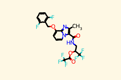 Cc1nc2c(OCc3c(F)cccc3F)cccn2c1C(=O)NCC(OC(=O)C(F)(F)F)C(F)(F)F